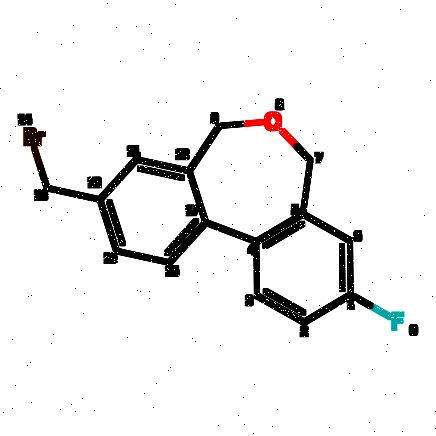 Fc1ccc2c(c1)COCc1cc(CBr)ccc1-2